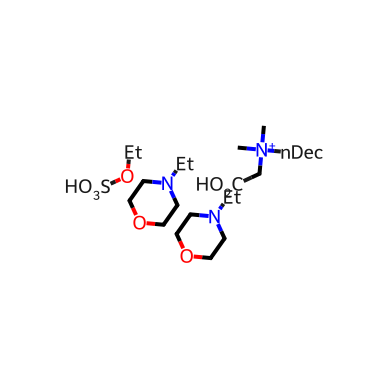 CCCCCCCCCC[N+](C)(C)CC(=O)O.CCN1CCOCC1.CCN1CCOCC1.CCOS(=O)(=O)O